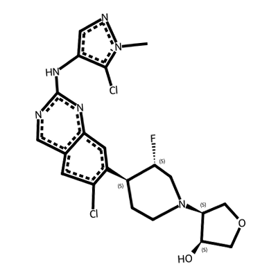 Cn1ncc(Nc2ncc3cc(Cl)c([C@@H]4CCN([C@H]5COC[C@H]5O)C[C@H]4F)cc3n2)c1Cl